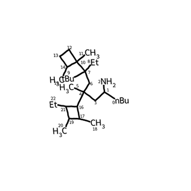 CCCCC(N)CC(C)(CC(CC)(C(C)(C)C)C1(C)CCC1C)C1C(C)C(C)C1CC